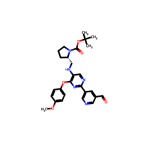 COc1ccc(Oc2nc(-c3cncc(C=O)c3)ncc2NC[C@@H]2CCCN2C(=O)OC(C)(C)C)cc1